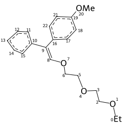 CCOCCOCCO/C=C(/c1ccccc1)c1ccc(OC)cc1